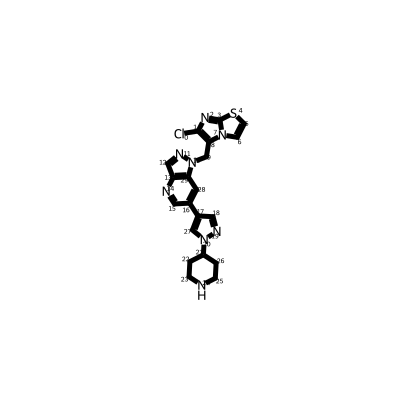 Clc1nc2sccn2c1Cn1ncc2ncc(-c3cnn(C4CCNCC4)c3)cc21